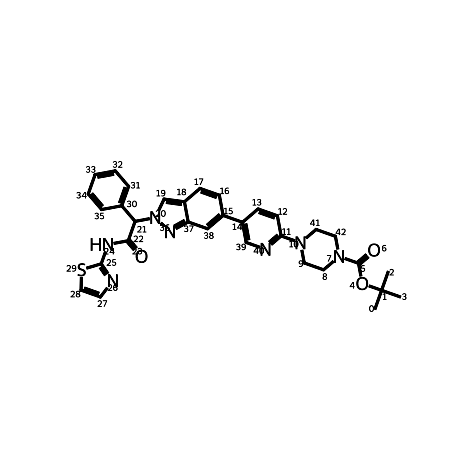 CC(C)(C)OC(=O)N1CCN(c2ccc(-c3ccc4cn(C(C(=O)Nc5nccs5)c5ccccc5)nc4c3)cn2)CC1